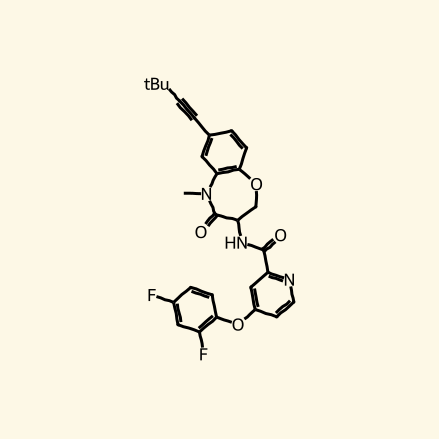 CN1C(=O)C(NC(=O)c2cc(Oc3ccc(F)cc3F)ccn2)COc2ccc(C#CC(C)(C)C)cc21